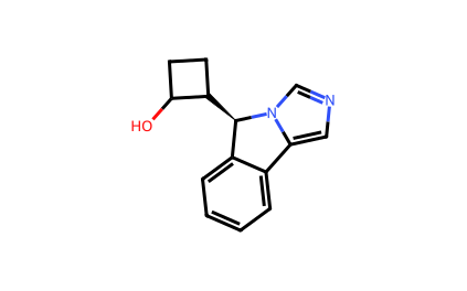 OC1CCC1[C@@H]1c2ccccc2-c2cncn21